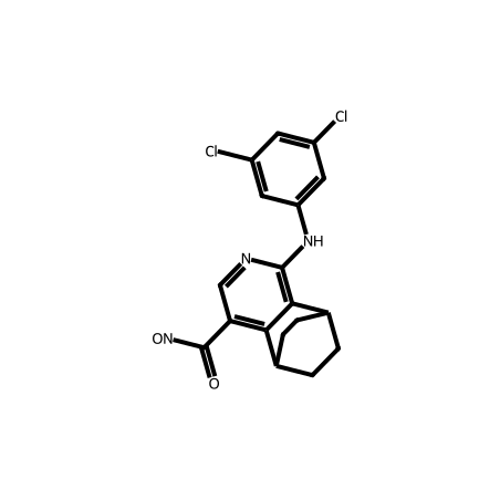 O=NC(=O)c1cnc(Nc2cc(Cl)cc(Cl)c2)c2c1C1CCC2CC1